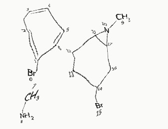 Brc1ccccc1.CN.CN1C2CCC(Br)CC21